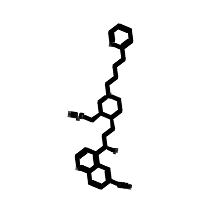 COc1ccc2nccc([C@H](F)CC[C@@H]3CCN(CCCCc4ccccn4)C[C@@H]3CC(=O)O)c2c1